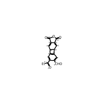 CCC(=O)c1cc2c(cc1C=O)C1C=C3C(=O)OC(=O)C3=CC21